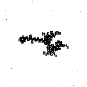 C[C@H](NC(=O)OC(C)(C)C)C(=O)NP(=O)(OCCCCCCNC(=O)OCc1ccccc1)OC[C@H]1O[C@@H](n2cnc3c(N)ncnc32)[C@@H]2OC(C)(C)O[C@@H]21